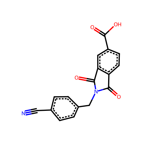 N#Cc1ccc(CN2C(=O)c3ccc(C(=O)O)cc3C2=O)cc1